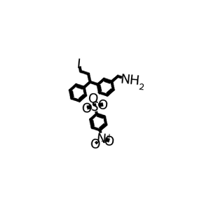 NCc1ccc(OS(=O)(=O)c2ccc([N+](=O)[O-])cc2)c(C(CCI)c2ccccc2)c1